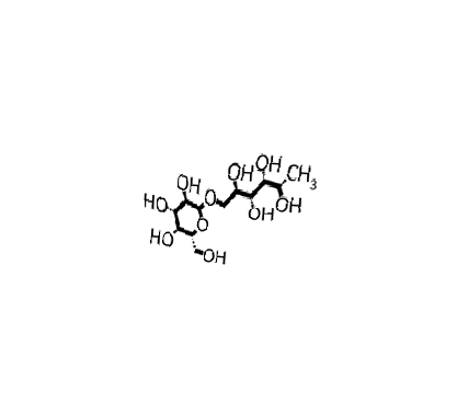 C[C@H](O)[C@@H](O)[C@H](O)[C@H](O)COC1O[C@H](CO)[C@H](O)[C@H](O)[C@H]1O